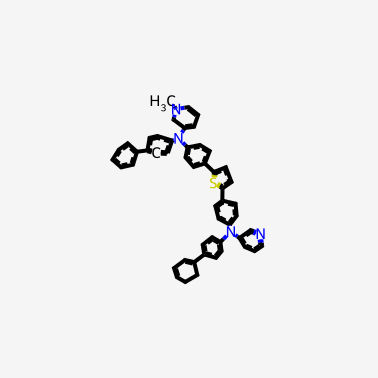 CN1C=CC=C(N(c2ccc(-c3ccccc3)cc2)c2ccc(-c3ccc(-c4ccc(N(c5ccc(C6=CC=CCC6)cc5)c5cccnc5)cc4)s3)cc2)C1